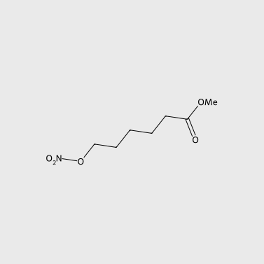 COC(=O)CCCCCO[N+](=O)[O-]